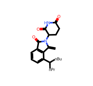 C=C1c2c(cccc2C(CCC)CCCC)C(=O)N1C1CCC(=O)NC1=O